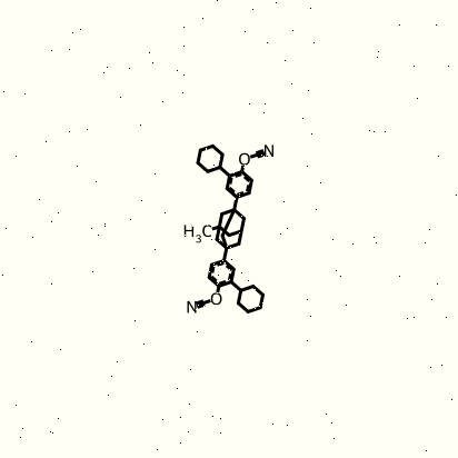 CC12CC3CC(c4ccc(OC#N)c(C5CCCCC5)c4)(C1)CC(c1ccc(OC#N)c(C4CCCCC4)c1)(C3)C2